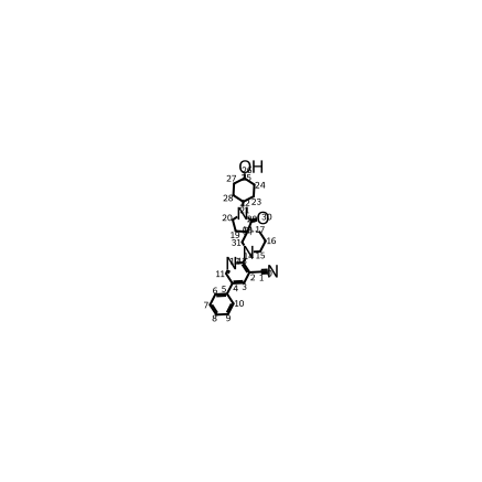 N#Cc1cc(-c2ccccc2)cnc1N1CCC[C@@]2(CCN(C3CCC(O)CC3)C2=O)C1